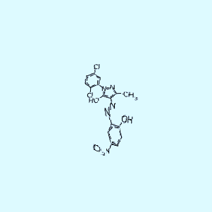 Cc1nn(-c2cc(Cl)ccc2Cl)c(O)c1N=Nc1cc([N+](=O)[O-])ccc1O